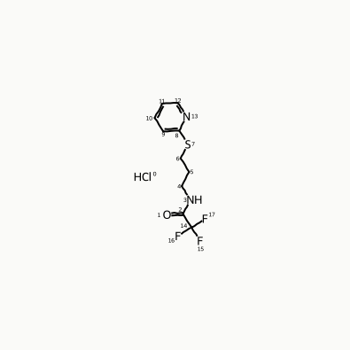 Cl.O=C(NCCCSc1ccccn1)C(F)(F)F